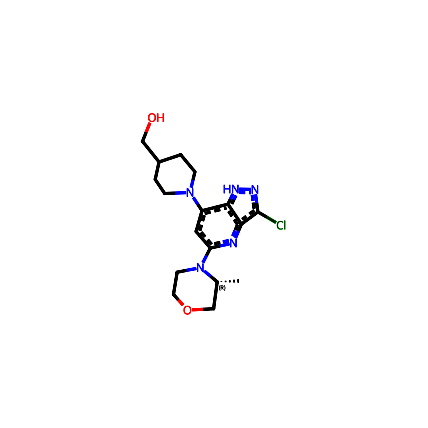 C[C@@H]1COCCN1c1cc(N2CCC(CO)CC2)c2[nH]nc(Cl)c2n1